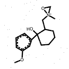 COc1cccc(C2(O)CCCCC2C[N+]2(C)CO2)c1